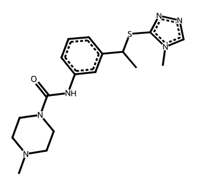 CC(Sc1nncn1C)c1cccc(NC(=O)N2CCN(C)CC2)c1